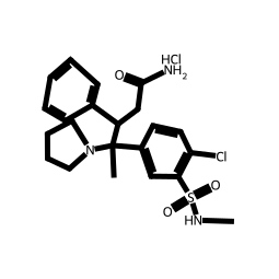 CNS(=O)(=O)c1cc(C(C)(C(CC(N)=O)c2ccccc2)N2CCCC2)ccc1Cl.Cl